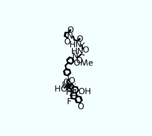 COc1cc(Cc2ccc([C@@H]3O[C@@H]4C[C@H]5[C@@H]6C[C@H](F)C7=CC(=O)C=C[C@]7(C)[C@@]6(F)[C@@H](O)C[C@]5(C)C4(C(=O)CO)O3)cc2)ccc1N(C)C(=O)[C@H](C)NC(=O)[C@H](C)NC(=O)CCN1C(=O)C=CC1=O